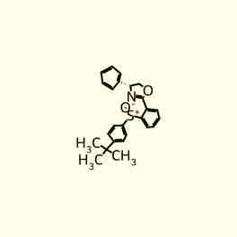 CC(C)(C)c1ccc([S@+]([O-])c2ccccc2C2=N[C@H](c3ccccc3)CO2)cc1